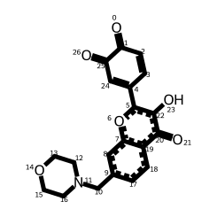 O=C1C=CC(c2oc3cc(CN4CCOCC4)ccc3c(=O)c2O)=CC1=O